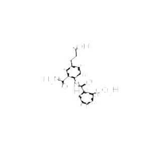 NC(=O)c1cc(CCCO)ccc1NC(=O)c1ccccc1C(=O)O